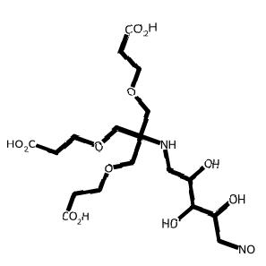 O=NCC(O)C(O)C(O)CNC(COCCC(=O)O)(COCCC(=O)O)COCCC(=O)O